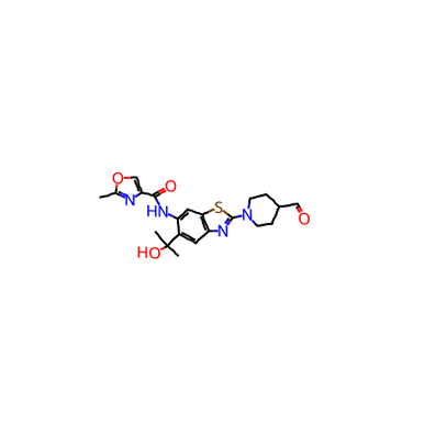 Cc1nc(C(=O)Nc2cc3sc(N4CCC(C=O)CC4)nc3cc2C(C)(C)O)co1